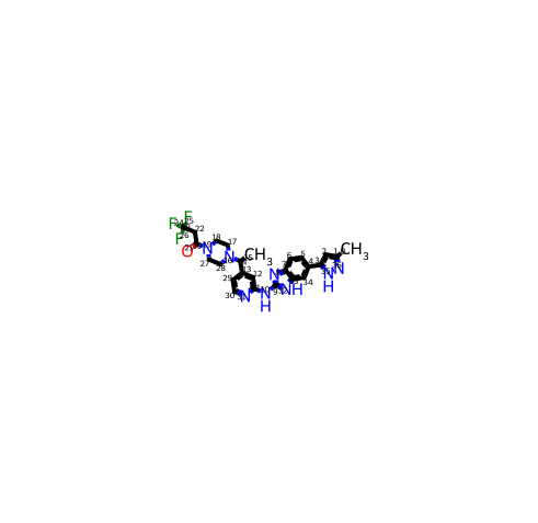 Cc1cc(-c2ccc3nc(Nc4cc(C(C)N5CCN(C(=O)CC(F)(F)F)CC5)ccn4)[nH]c3c2)[nH]n1